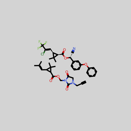 C#CCN1CC(=O)N(COC(=O)C2C(C=C(C)C)C2(C)C)C1=O.CC1(C)[C@H](C(=O)O[C@H](C#N)c2cccc(Oc3ccccc3)c2)[C@@H]1/C=C(\Cl)C(F)(F)F